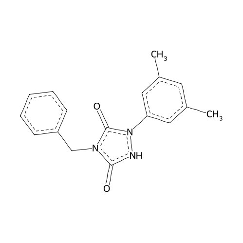 Cc1cc(C)cc(-n2[nH]c(=O)n(Cc3ccccc3)c2=O)c1